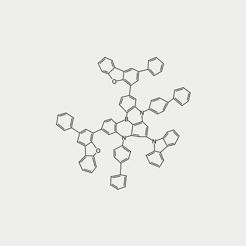 c1ccc(-c2ccc(N3c4cc(-c5cc(-c6ccccc6)cc6c5oc5ccccc56)ccc4B4c5ccc(-c6cc(-c7ccccc7)cc7c6oc6ccccc67)cc5N(c5ccc(-c6ccccc6)cc5)c5cc(-n6c7ccccc7c7ccccc76)cc3c54)cc2)cc1